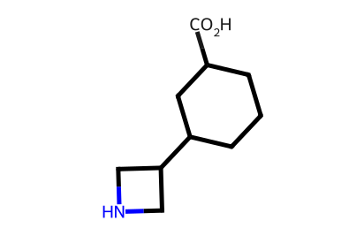 O=C(O)C1CCCC(C2CNC2)C1